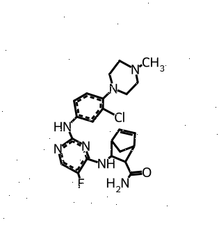 CN1CCN(c2ccc(Nc3ncc(F)c(NC4C5C=CC(C5)C4C(N)=O)n3)cc2Cl)CC1